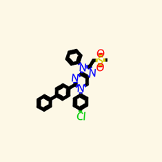 CS(=O)(=O)Cc1nc2c(n1-c1ccccc1)N=C(c1ccc(-c3ccccc3)cc1)N(c1ccc(Cl)cc1)C2